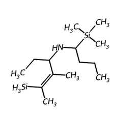 CCCC(NC(CC)C(C)=C(C)[SiH3])[Si](C)(C)C